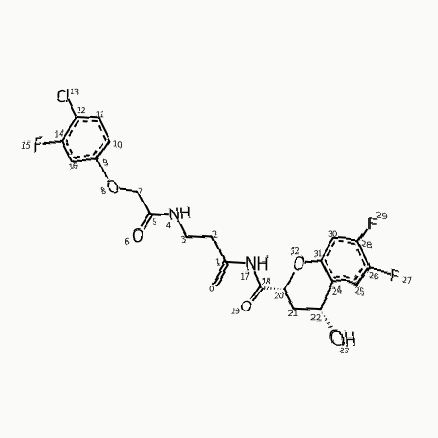 C=C(CCNC(=O)COc1ccc(Cl)c(F)c1)NC(=O)[C@H]1C[C@@H](O)c2cc(F)c(F)cc2O1